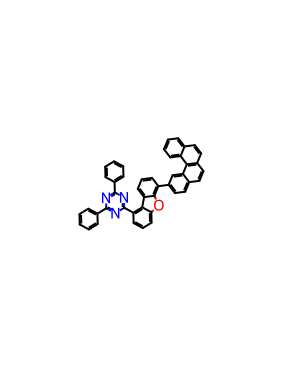 c1ccc(-c2nc(-c3ccccc3)nc(-c3cccc4oc5c(-c6ccc7ccc8ccc9ccccc9c8c7c6)cccc5c34)n2)cc1